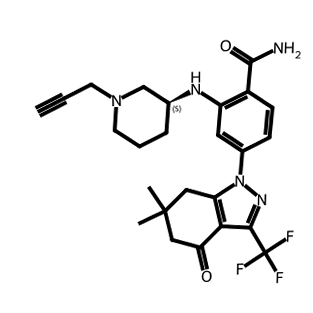 C#CCN1CCC[C@H](Nc2cc(-n3nc(C(F)(F)F)c4c3CC(C)(C)CC4=O)ccc2C(N)=O)C1